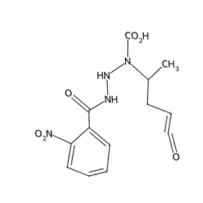 CC(CC=C=O)N(NNC(=O)c1ccccc1[N+](=O)[O-])C(=O)O